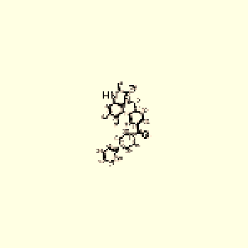 C=C1Nc2cc(C)c(C)cc2N(Cc2ccc(C(=O)N3CCN(c4ccccn4)CC3)cc2)C1=O